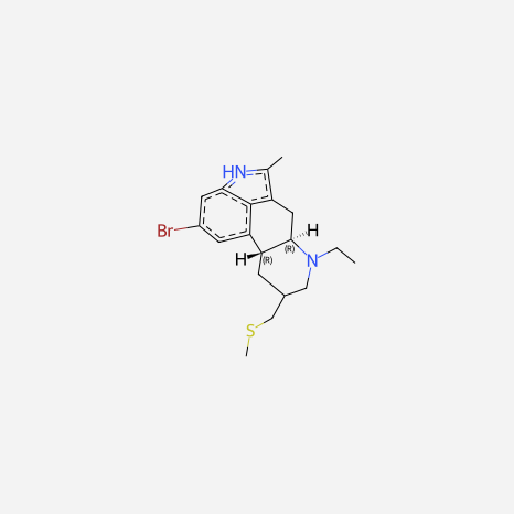 CCN1CC(CSC)C[C@@H]2c3cc(Br)cc4[nH]c(C)c(c34)C[C@H]21